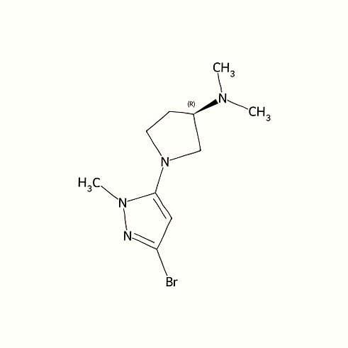 CN(C)[C@@H]1CCN(c2cc(Br)nn2C)C1